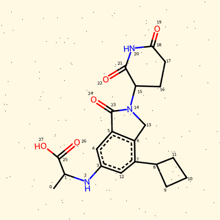 CC(Nc1cc2c(c(C3CCC3)c1)CN(C1CCC(=O)NC1=O)C2=O)C(=O)O